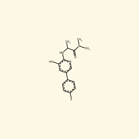 CC(Nc1ncc(-c2ccc(F)cc2)cc1O)C(=O)N(C)C